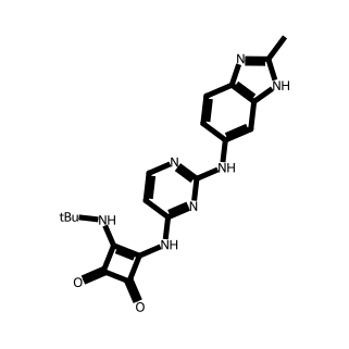 Cc1nc2ccc(Nc3nccc(Nc4c(NC(C)(C)C)c(=O)c4=O)n3)cc2[nH]1